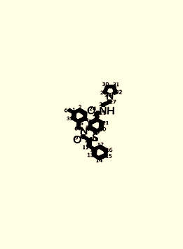 Cc1cccc(CN2C(=O)C(=Cc3ccccc3)Sc3ccc(C(=O)NCCN4CCCC4)cc32)c1